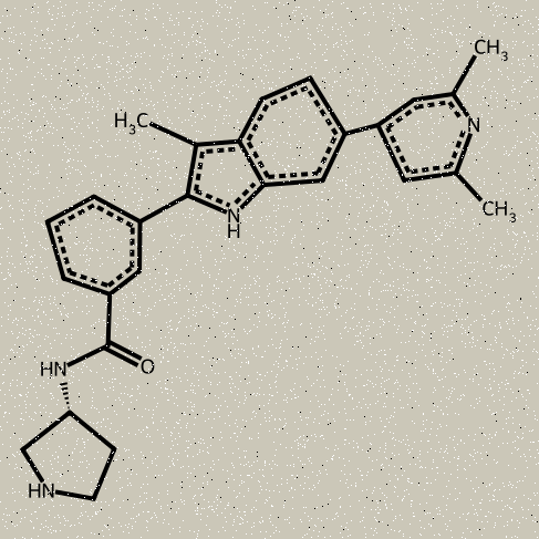 Cc1cc(-c2ccc3c(C)c(-c4cccc(C(=O)N[C@@H]5CCNC5)c4)[nH]c3c2)cc(C)n1